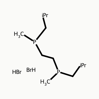 Br.Br.CC(C)CP(C)CCP(C)CC(C)C